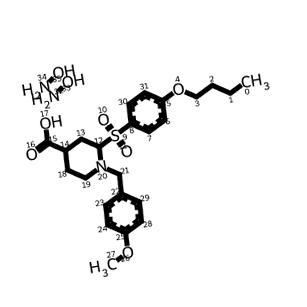 CCCCOc1ccc(S(=O)(=O)C2CC(C(=O)O)CCN2Cc2ccc(OC)cc2)cc1.NO.NO